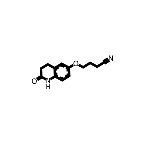 N#CCCCOc1ccc2c(c1)CCC(=O)N2